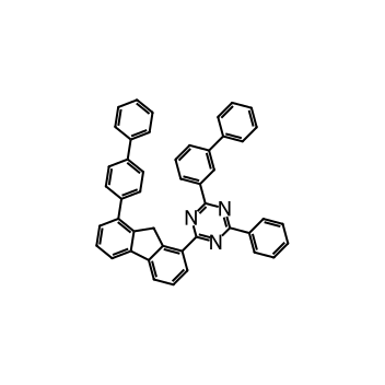 c1ccc(-c2ccc(-c3cccc4c3Cc3c(-c5nc(-c6ccccc6)nc(-c6cccc(-c7ccccc7)c6)n5)cccc3-4)cc2)cc1